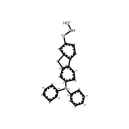 OBOc1ccc2c(c1)Cc1cc(N(c3ccccc3)c3ccccc3)ccc1-2